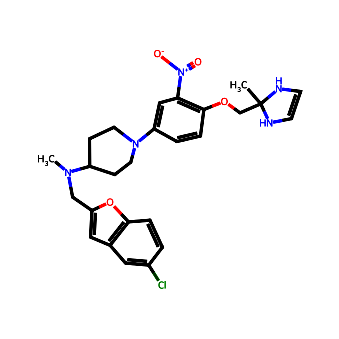 CN(Cc1cc2cc(Cl)ccc2o1)C1CCN(c2ccc(OCC3(C)NC=CN3)c([N+](=O)[O-])c2)CC1